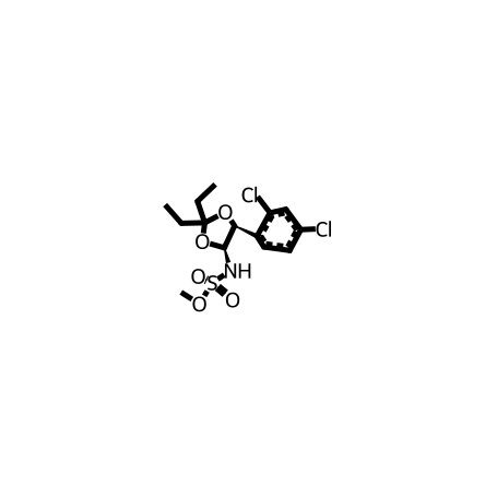 CCC1(CC)O[C@H](NS(=O)(=O)OC)[C@H](c2ccc(Cl)cc2Cl)O1